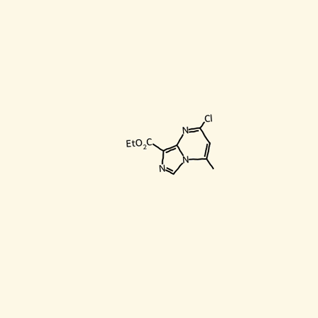 CCOC(=O)c1ncn2c(C)cc(Cl)nc12